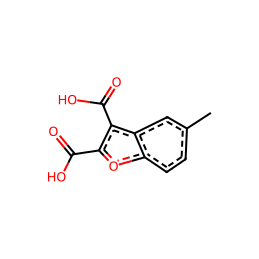 Cc1ccc2oc(C(=O)O)c(C(=O)O)c2c1